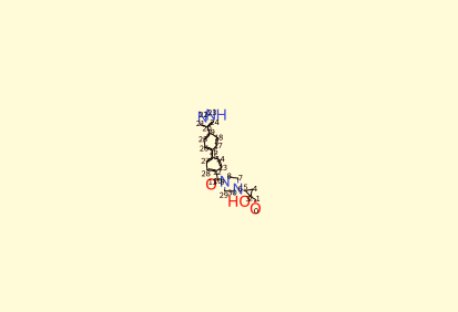 O=CC1(O)CC1N1CCN(C(=O)c2ccc(-c3ccc(-c4cn[nH]c4)cc3)cc2)CC1